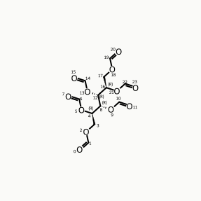 O=COC[C@@H](OC=O)[C@@H](OC=O)[C@H](OC=O)[C@@H](COC=O)OC=O